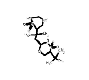 CC(C)(C)C1COC(CC(C)(C)C2CNCNS2(=O)=O)NS1(=O)=O